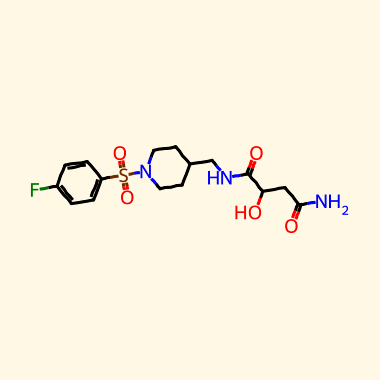 NC(=O)CC(O)C(=O)NCC1CCN(S(=O)(=O)c2ccc(F)cc2)CC1